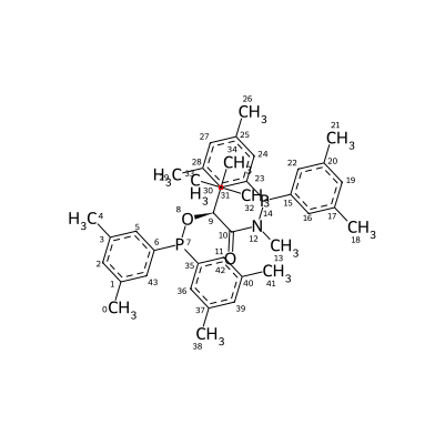 Cc1cc(C)cc(P(O[C@H](C(=O)N(C)P(c2cc(C)cc(C)c2)c2cc(C)cc(C)c2)C(C)(C)C)c2cc(C)cc(C)c2)c1